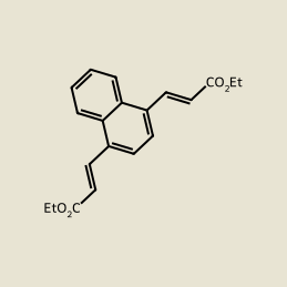 CCOC(=O)C=Cc1ccc(C=CC(=O)OCC)c2ccccc12